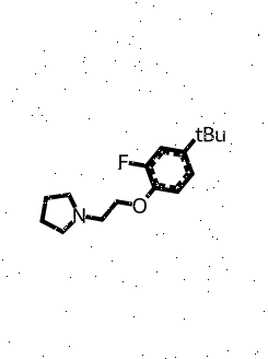 CC(C)(C)c1ccc(OCCN2CCCC2)c(F)c1